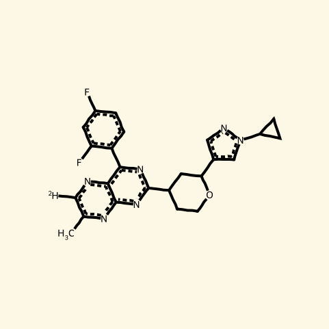 [2H]c1nc2c(-c3ccc(F)cc3F)nc(C3CCOC(c4cnn(C5CC5)c4)C3)nc2nc1C